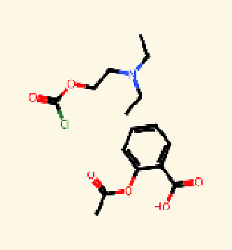 CC(=O)Oc1ccccc1C(=O)O.CCN(CC)CCOC(=O)Cl